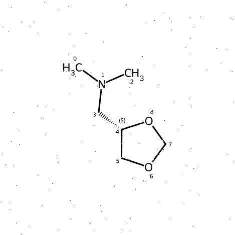 CN(C)C[C@H]1COCO1